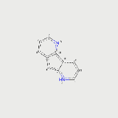 c1c[nH]c2cc3cccnc3c-2c1